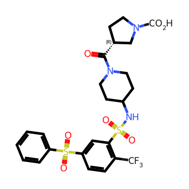 O=C(O)N1CC[C@@H](C(=O)N2CCC(NS(=O)(=O)c3cc(S(=O)(=O)c4ccccc4)ccc3C(F)(F)F)CC2)C1